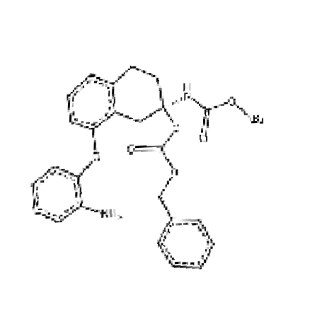 CC(C)(C)OC(=O)N[C@@]1(OC(=O)OCc2ccccc2)CCc2cccc(Oc3ccccc3N)c2C1